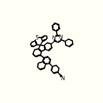 N#CC1=CC=C(c2ccc(C3=CCCC4=C3C3=C(CC(c5cc(C6CC=CCC6)nc(-c6ccccc6)n5)C=C3)C43C4=CCCC=C4SC4=C3C=CCC4)c3c2C=CCC3)CC1